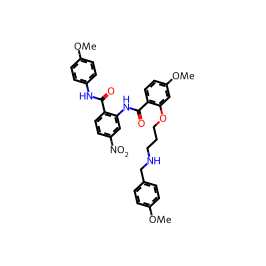 COc1ccc(CNCCCOc2cc(OC)ccc2C(=O)Nc2cc([N+](=O)[O-])ccc2C(=O)Nc2ccc(OC)cc2)cc1